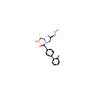 CO/N=C1\C[C@@H]([C@@H](C)O)N(C(=O)c2ccc(-c3ccccc3C)cc2)C1